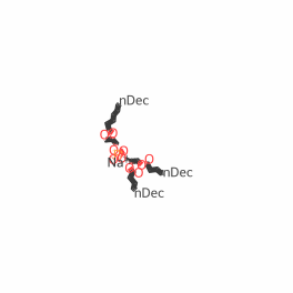 CCCCCCCCCCCCCCCC1OCC(COP(=O)([O-])OC[C@@H](COC(=O)CCCCCCCCCCCCC)OC(=O)CCCCCCCCCCCCC)O1.[Na+]